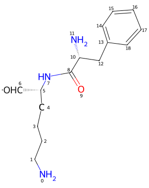 NCCCC[C@H]([C]=O)NC(=O)[C@H](N)Cc1ccccc1